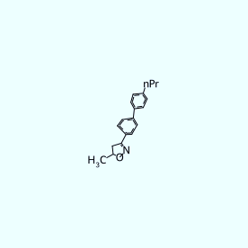 CCCc1ccc(-c2ccc(C3=NOC(C)C3)cc2)cc1